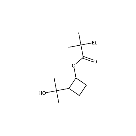 CCC(C)(C)C(=O)OC1CCC1C(C)(C)O